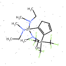 CC[N](C)[Zr]([C]1=[C]([Ge]([C](F)(F)F)([C](F)(F)F)[C](F)(F)F)C=CC1)([N](C)CC)[N](C)CC